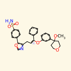 COC1(c2cccc(O/C(=C/Cc3ncoc3-c3ccc(S(N)(=O)=O)cc3)c3ccccc3)c2)CCOCC1